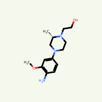 COc1cc(N2CCN(CCO)[C@@H](C)C2)ccc1N